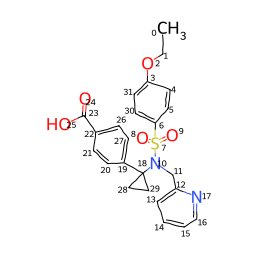 CCOc1ccc(S(=O)(=O)N(Cc2ccccn2)C2(c3ccc(C(=O)O)cc3)CC2)cc1